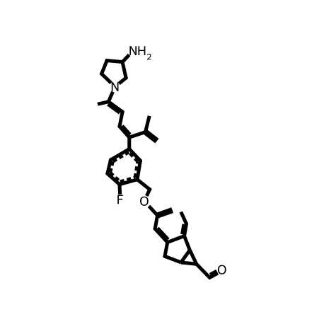 C=C(/C=C1/CC2C(C=O)C2/C1=C/C)OCc1cc(/C(=C/C=C(\C)N2CCC(N)C2)C(=C)C)ccc1F